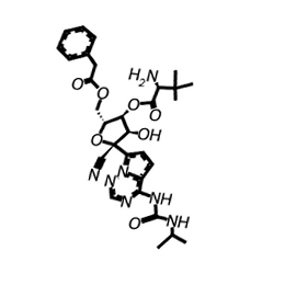 CC(C)NC(=O)Nc1ncnn2c([C@]3(C#N)O[C@H](COC(=O)Cc4ccccc4)[C@@H](OC(=O)[C@@H](N)C(C)(C)C)[C@H]3O)ccc12